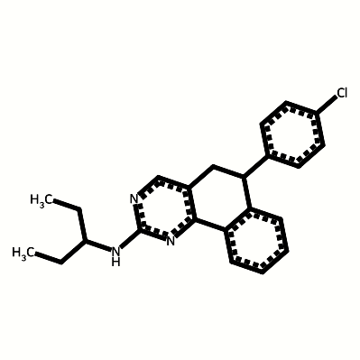 CCC(CC)Nc1ncc2c(n1)-c1ccccc1C(c1ccc(Cl)cc1)C2